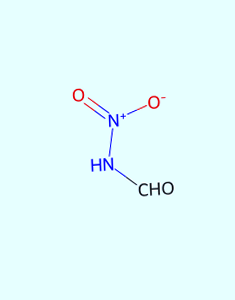 O=CN[N+](=O)[O-]